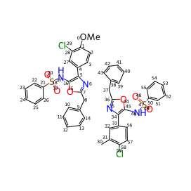 COc1ccc(-c2nc(Cc3ccccc3)oc2NS(=O)(=O)c2ccccc2)cc1Cl.Cc1cc(-c2nc(Cc3ccccc3)oc2NS(=O)(=O)c2ccccc2)ccc1Cl